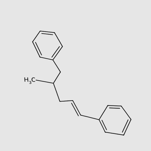 CC(CC=Cc1ccccc1)Cc1ccccc1